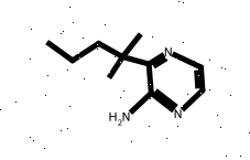 CCCC(C)(C)c1nccnc1N